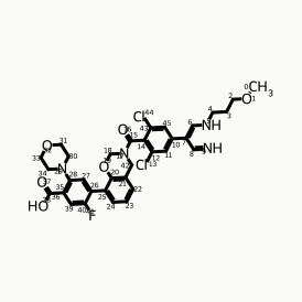 COCCCN/C=C(\C=N)c1cc(Cl)c(C(=O)N2COc3c(cccc3-c3cc(N4CCOCC4)c(C(=O)O)cc3F)C2)c(Cl)c1